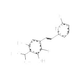 CC(C)c1c(O)cc(C=Cc2cccc(F)n2)c(F)c1O